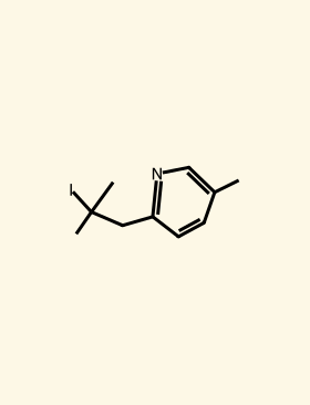 Cc1ccc(CC(C)(C)I)nc1